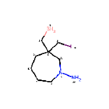 BCC1(CI)CCCCN(N)C1